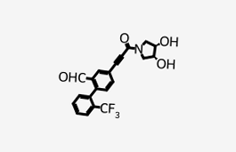 O=Cc1cc(C#CC(=O)N2C[C@@H](O)[C@@H](O)C2)ccc1-c1ccccc1C(F)(F)F